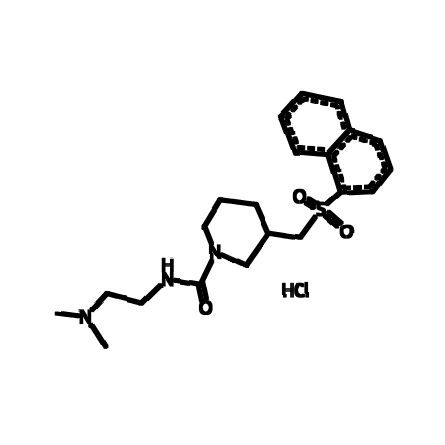 CN(C)CCNC(=O)N1CCCC(CS(=O)(=O)c2cccc3ccccc23)C1.Cl